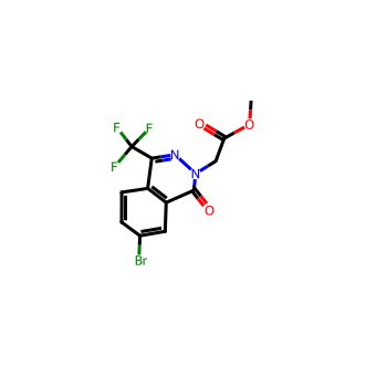 COC(=O)Cn1nc(C(F)(F)F)c2ccc(Br)cc2c1=O